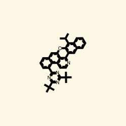 CC(C)c1c2c(cc3ccccc13)-c1nccc3c1c(cc1cccc(-c4nc(C(C)(C)C)nc(C(C)(C)C)n4)c13)O2